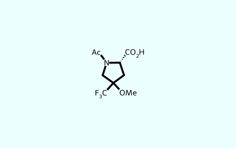 COC1(C(F)(F)F)C[C@@H](C(=O)O)N(C(C)=O)C1